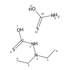 CCN(CC)NC(O)=S.NC(O)=S